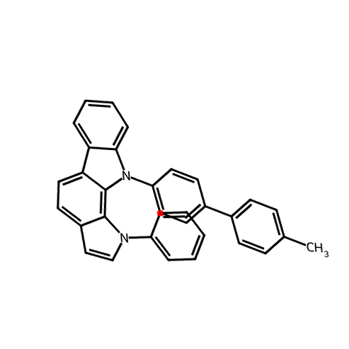 Cc1ccc(-c2ccc(-n3c4ccccc4c4ccc5ccn(-c6ccccc6)c5c43)cc2)cc1